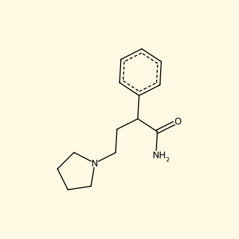 NC(=O)C(CCN1CCCC1)c1ccccc1